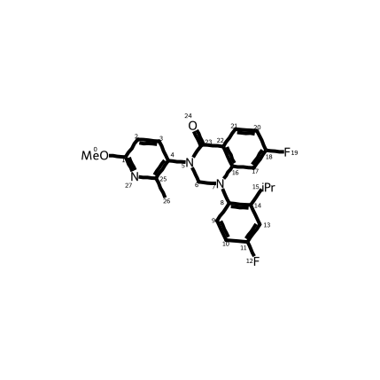 COc1ccc(N2CN(c3ccc(F)cc3C(C)C)c3cc(F)ccc3C2=O)c(C)n1